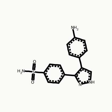 Nc1ccc(-c2c[nH]nc2-c2ccc(S(N)(=O)=O)cc2)cc1